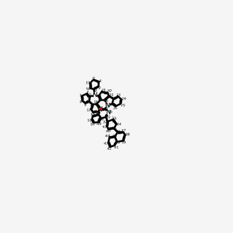 c1ccc(N2c3ccccc3-c3ccccc3-c3c2ccc2c4ccccc4n(-c4nc(-c5ccc(-c6cccc7ccccc67)cc5)c5ccccc5n4)c32)cc1